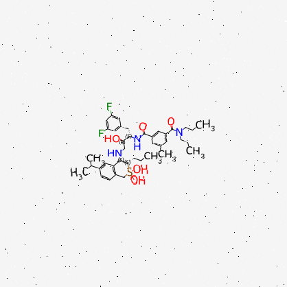 CCC[C@H]1[C@@H](NC[C@@H](O)[C@H](Cc2cc(F)cc(F)c2)NC(=O)c2cc(C)cc(C(=O)N(CCC)CCC)c2)c2cc(C(C)C)ccc2CS1(O)O